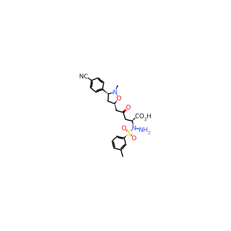 Cc1cccc(S(=O)(=O)N(N)[C@@H](CC(=O)C[C@H]2C[C@@H](c3ccc(C#N)cc3)N(C)O2)C(=O)O)c1